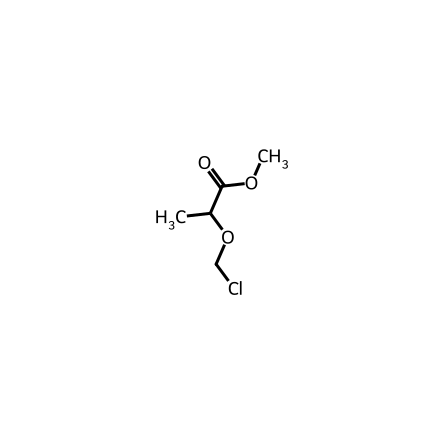 COC(=O)C(C)OCCl